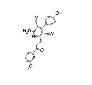 COc1ccc(-c2c(C#N)c(N)nc(SCC(=O)c3cccc(OC)c3)c2C#N)cc1